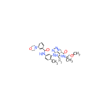 COC[C@H](C)NC(=O)C1CN2N=CN=C(Nc3cc(NC(=O)c4cccc(N5CCOCC5)c4)ccc3C)C2=C1C